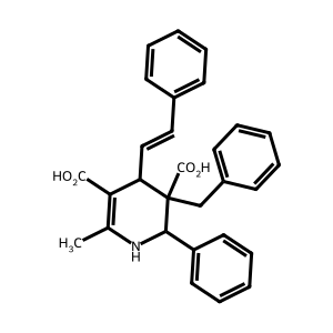 CC1=C(C(=O)O)C(/C=C/c2ccccc2)C(Cc2ccccc2)(C(=O)O)C(c2ccccc2)N1